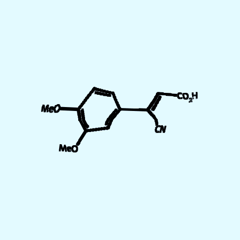 COc1ccc(C(C#N)=CC(=O)O)cc1OC